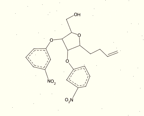 C=CCCC1OC(CO)C(Oc2cccc([N+](=O)[O-])c2)C1Oc1cccc([N+](=O)[O-])c1